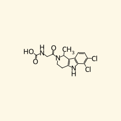 CC1c2c([nH]c3c(Cl)c(Cl)ccc23)CCN1C(=O)CNC(=O)O